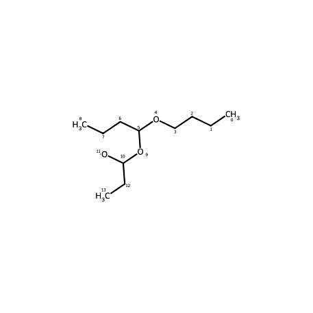 CCCCOC(CCC)OC([O])CC